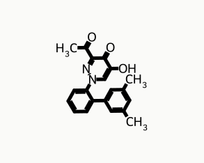 CC(=O)c1nn(-c2ccccc2-c2cc(C)cc(C)c2)cc(O)c1=O